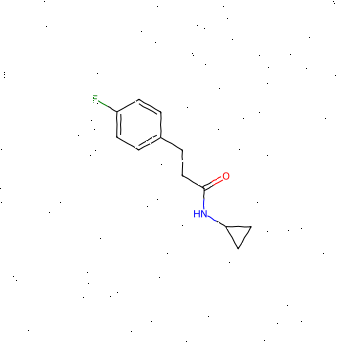 O=C(CCc1ccc(F)cc1)NC1CC1